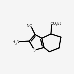 CCOC(=O)C1CCCc2sc(N)c(C#N)c21